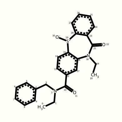 CCN(Cc1ccccc1)C(=O)c1ccc2c(c1)N(CC)C(=O)c1ccccc1[S+]2[O-]